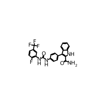 NC(=O)c1[nH]c2ccccc2c1-c1ccc(NC(=O)Nc2cc(C(F)(F)F)ccc2F)cc1